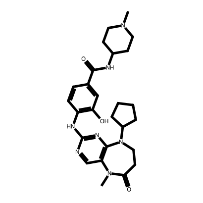 CN1CCC(NC(=O)c2ccc(Nc3ncc4c(n3)N(C3CCCC3)CCC(=O)N4C)c(O)c2)CC1